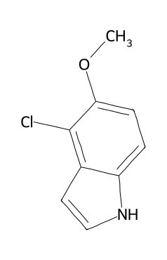 COc1ccc2[nH]ccc2c1Cl